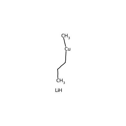 CC[CH2][Cu][CH3].[LiH]